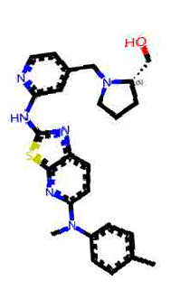 Cc1ccc(N(C)c2ccc3nc(Nc4cc(CN5CCC[C@H]5CO)ccn4)sc3n2)cc1